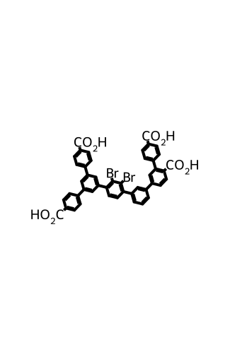 O=C(O)c1ccc(-c2cc(-c3ccc(C(=O)O)cc3)cc(-c3ccc(-c4cccc(-c5ccc(C(=O)O)c(-c6ccc(C(=O)O)cc6)c5)c4)c(Br)c3Br)c2)cc1